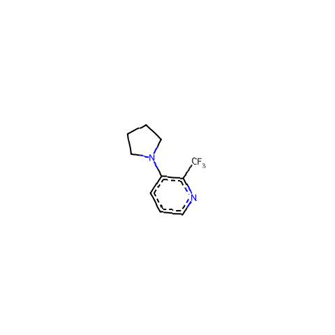 FC(F)(F)c1ncccc1N1CCCC1